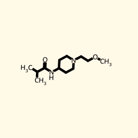 COCCN1CCC(NC(=O)C(C)C)CC1